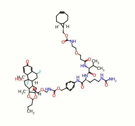 CCCC1O[C@@H]2CC3[C@@H]4C[C@H](F)C5=CC(=O)C=C[C@]5(C)[C@@]4(F)[C@@H](O)C[C@]3(C)[C@]2(C(=O)COCNC(=O)OCc2ccc(NC(=O)[C@H](CCCNC(N)=O)NC(=O)[C@@H](NC(=O)CCOCCNC(=O)OC[C@@H]3[C@@H]4CCC#CCC[C@@H]43)C(C)C)cc2)O1